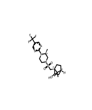 C[C@H]1CN(S(=O)(=O)C[C@]23CC[C@H](CC2O)C3(C)C)CCN1c1ncc(C(F)(F)F)cn1